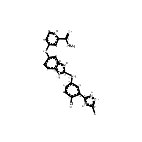 CNC(=O)c1cc(Oc2ccc3[nH]c(Nc4ccc(Cl)c(-c5nsc(C)n5)c4)nc3c2)ccn1